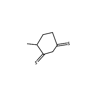 CC1CCC(=S)CC1=S